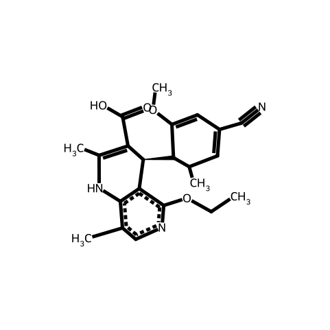 CCOc1ncc(C)c2c1[C@H](C1C(OC)=CC(C#N)=CC1C)C(C(=O)O)=C(C)N2